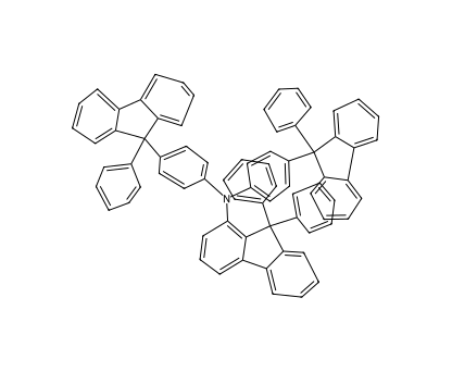 c1ccc(C2(c3ccc(N(c4ccc(C5(c6ccccc6)c6ccccc6-c6ccccc65)cc4)c4cccc5c4C(c4ccccc4)(c4ccccc4)c4ccccc4-5)cc3)c3ccccc3-c3ccccc32)cc1